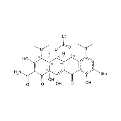 CCC(=O)O[C@@H]1[C@@H]2C(=C(O)[C@@]3(O)C(=O)C(C(N)=O)=C(O)[C@H](N(C)C)[C@@H]13)C(=O)c1c(O)c(C(C)(C)C)cc(N(C)C)c1[C@H]2C